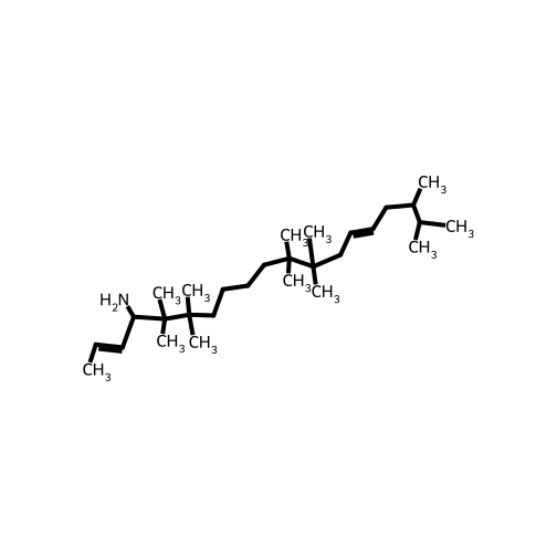 CC=CC(N)C(C)(C)C(C)(C)CCCCC(C)(C)C(C)(C)CC=CCC(C)C(C)C